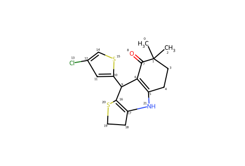 CC1(C)CCC2=C(C1=O)C(c1cc(Cl)cs1)C1=C(CCS1)N2